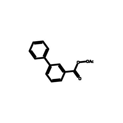 CC(=O)OOC(=O)c1cccc(-c2ccccc2)c1